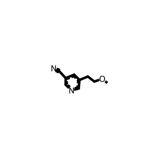 COCCc1cncc(C#N)c1